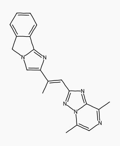 CC(=Cc1nc2c(C)ncc(C)n2n1)c1cn2c(n1)-c1ccccc1C2